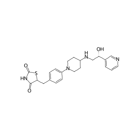 O=C1NC(=O)C(Cc2ccc(N3CCC(NC[C@H](O)c4cccnc4)CC3)cc2)S1